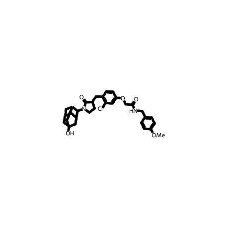 COc1ccc(CNC(=O)COc2ccc(CC3CCN(C4C5CC6CC4CC(O)(C6)C5)C3=O)c(Cl)c2)cc1